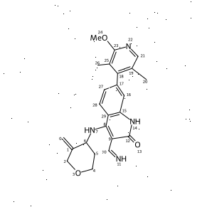 C=C1COCCC1Nc1c(C=N)c(=O)[nH]c2cc(-c3c(C)cnc(OC)c3C)ccc12